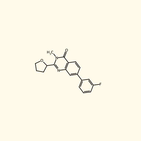 Cn1c(C2CCCO2)nc2cc(-c3cccc(F)c3)ccc2c1=O